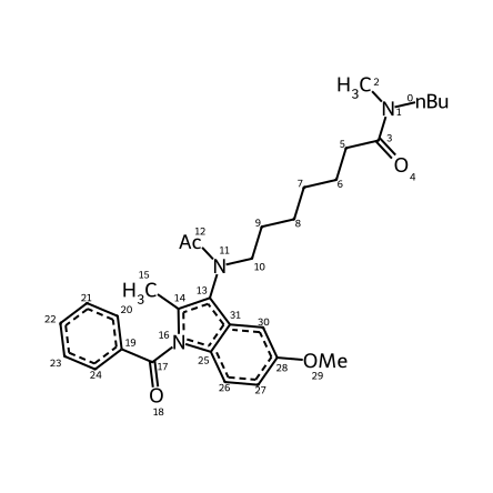 CCCCN(C)C(=O)CCCCCCN(C(C)=O)c1c(C)n(C(=O)c2ccccc2)c2ccc(OC)cc12